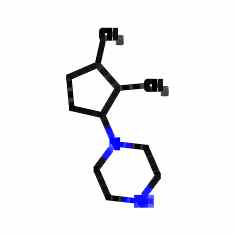 CC1CCC(N2CCNCC2)C1C